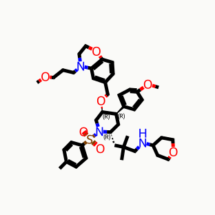 COCCCN1CCOc2ccc(CO[C@H]3CN(S(=O)(=O)c4ccc(C)cc4)[C@@H](CC(C)(C)CNC4CCOCC4)C[C@@H]3c3ccc(OC)cc3)cc21